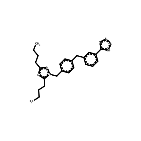 CCCCc1nc(CCCC)n(Cc2ccc(Cc3cccc(-c4nnn[nH]4)c3)cc2)n1